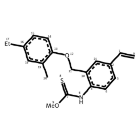 C=Cc1ccc(NC(=S)OC)c(COc2ccc(CC)cc2C)c1